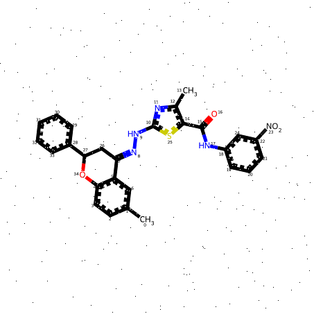 Cc1ccc2c(c1)C(=NNc1nc(C)c(C(=O)Nc3cccc([N+](=O)[O-])c3)s1)CC(c1ccccc1)O2